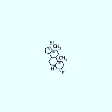 CC[C@H]1CCC2C3CC[C@H]4C[C@@H](F)CC[C@]4(C)C3CC[C@@]21C